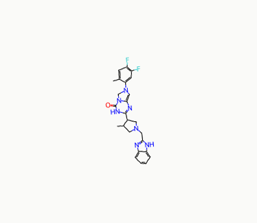 Cc1cc(F)c(F)cc1N1C=C2N=C(C3CN(Cc4nc5ccccc5[nH]4)CC3C)NC(=O)N2C1